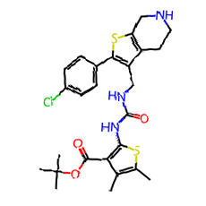 Cc1sc(NC(=O)NCc2c(-c3ccc(Cl)cc3)sc3c2CCNC3)c(C(=O)OC(C)(C)C)c1C